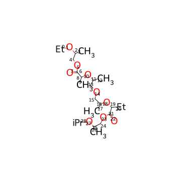 CCOC(C)COC(=O)C(C)OC(C)COCC(C)OC(CC)C(=O)OCC(C)OC(C)C